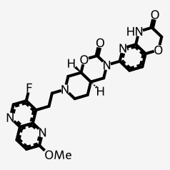 COc1ccc2ncc(F)c(CCN3CC[C@@H]4CN(c5ccc6c(n5)NC(=O)CO6)C(=O)O[C@H]4C3)c2n1